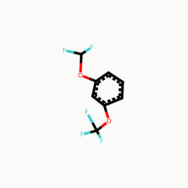 FC(F)Oc1c[c]cc(OC(F)(F)F)c1